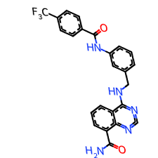 NC(=O)c1cccc2c(NCc3cccc(NC(=O)c4ccc(C(F)(F)F)cc4)c3)ncnc12